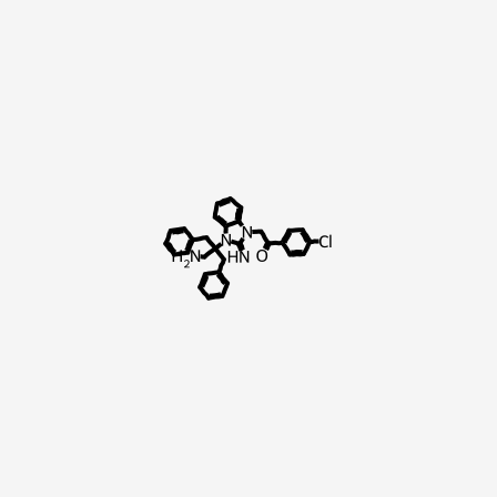 N=c1n(CC(=O)c2ccc(Cl)cc2)c2ccccc2n1C(CN)(Cc1ccccc1)Cc1ccccc1